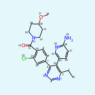 CCc1ncnc(-c2ccc(C(=O)N3CCC(OC)CC3)c(Cl)c2)c1-c1ccc(N)nc1